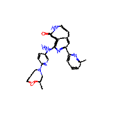 Cc1cccc(-c2cc3cc[nH]c(=O)c3c(Nc3ccc(N4CCO[C@H](C)C4)nc3)n2)n1